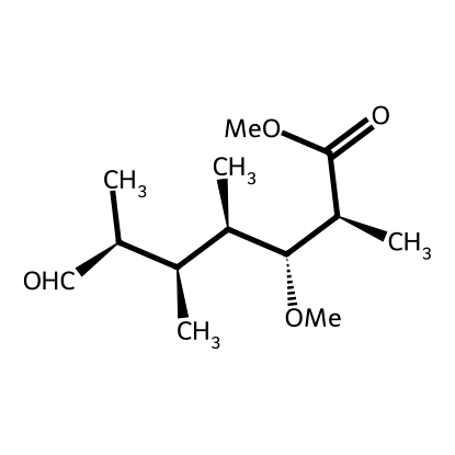 COC(=O)[C@@H](C)[C@H](OC)[C@H](C)[C@@H](C)[C@H](C)C=O